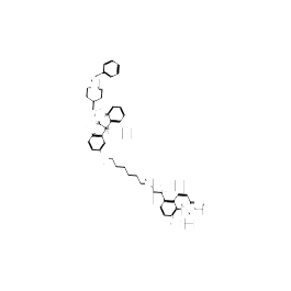 O=C(OCC1CCN(Cc2ccccc2)CC1)[C@](O)(c1ccccc1)c1cccc(OCCCCCCNC[C@H](O)c2ccc(O)c3[nH]c(=O)ccc23)c1